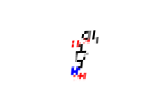 COC(=O)C1CCC(C=NO)CC1